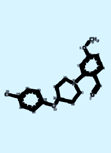 COc1ccc(C=O)c(N2CCC(Oc3ccc(Cl)cc3)CC2)c1